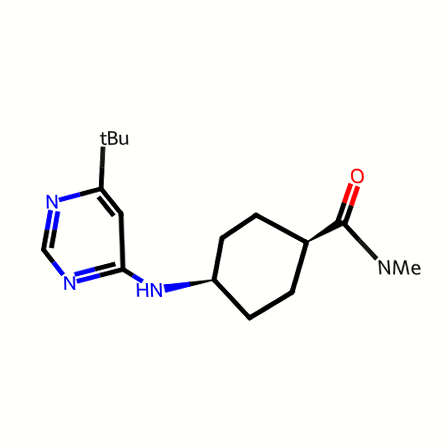 CNC(=O)[C@H]1CC[C@@H](Nc2cc(C(C)(C)C)ncn2)CC1